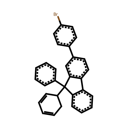 Brc1ccc(-c2ccc3c(c2)C(c2ccccc2)(C2C=CC=CC2)c2ccccc2-3)cc1